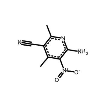 Cc1nc(N)c([N+](=O)[O-])c(C)c1C#N